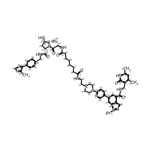 Cc1cc(C)c(CNC(=O)c2cc(-c3ccc(N4CCN(CCNC(=O)CCCCCCC(=O)N[C@H](C(=O)N5C[C@H](O)C[C@H]5C(=O)NCc5ccc(-c6scnc6C)cc5)C(C)(C)C)CC4)nc3)cc3c2cnn3C(C)C)c(=O)[nH]1